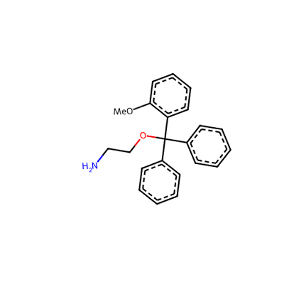 COc1ccccc1C(OCCN)(c1ccccc1)c1ccccc1